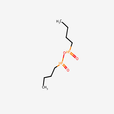 CCCC[PH](=O)O[PH](=O)CCCC